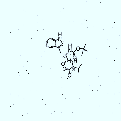 COC(=O)[C@@H](NC(=O)[C@H](Cc1c[nH]c2ccccc12)NC(=O)OC(C)(C)C)C(C)C